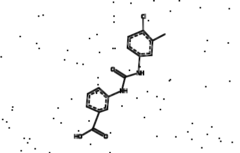 Cc1cc(NC(=O)Nc2cccc(C(=O)O)c2)ccc1Cl